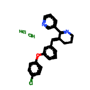 Cl.Cl.Clc1ccc(Oc2cccc(C=C3CCCN=C3c3cccnc3)c2)cc1